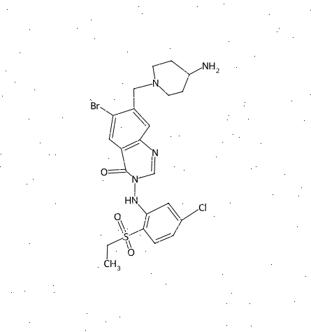 CCS(=O)(=O)c1ccc(Cl)cc1Nn1cnc2cc(CN3CCC(N)CC3)c(Br)cc2c1=O